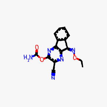 CCON=C1c2ccccc2-c2nc(OC(N)=O)c(C#N)nc21